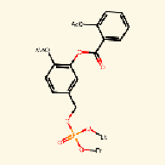 CCOP(=O)(OCC)OCc1ccc(OC)c(OC(=O)c2ccccc2OC(C)=O)c1